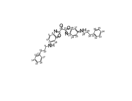 O=C(c1nc2ccc(NCCCc3ccccc3)cc2o1)c1nc2ccc(NCCCc3ccccc3)cc2o1